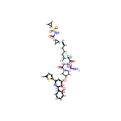 Cc1ccc(-c2cc(O[C@@H]3C[C@@H](C(N)=O)N(C(=O)[C@H](CCCCC/C=C\[C@@H]4C[C@@H]4C(=O)NS(=O)(=O)C4CC4)NC(=O)C(F)(F)F)C3)c3oc4ccccc4c3n2)s1